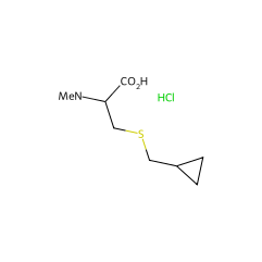 CNC(CSCC1CC1)C(=O)O.Cl